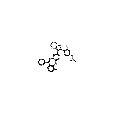 C[C@@H]1CCn2nc(-c3ccc(CN(C)C)cc3F)c(C(=O)N[C@H]3N=C(c4ccccc4)c4cccc(F)c4NC3=O)c2O1